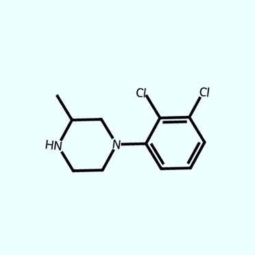 CC1CN(c2cccc(Cl)c2Cl)CCN1